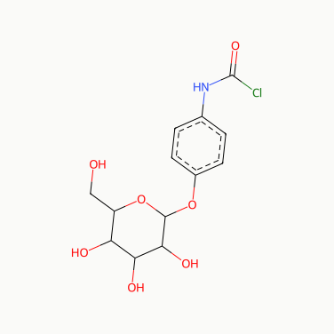 O=C(Cl)Nc1ccc(OC2OC(CO)C(O)C(O)C2O)cc1